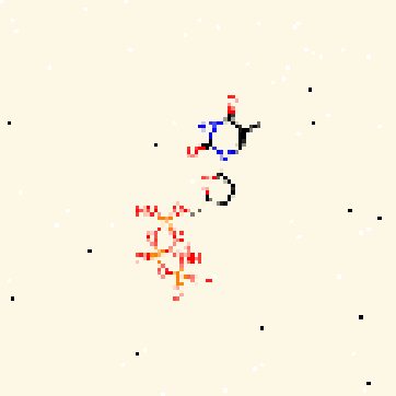 Cc1cn([C@@H]2CC[C@H](COP(=O)(O)OP(=O)(O)OP(=O)(O)O)O2)c(=O)[nH]c1=O